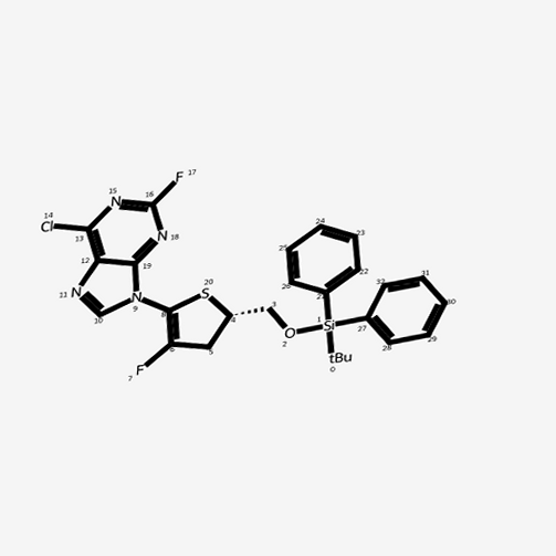 CC(C)(C)[Si](OC[C@@H]1CC(F)=C(n2cnc3c(Cl)nc(F)nc32)S1)(c1ccccc1)c1ccccc1